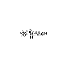 O=C(CCc1ccco1)NCCCCCCO